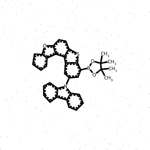 CC1(C)OB(c2cc(-n3c4ccccc4c4ccccc43)cc3c2sc2ccc4oc5ccccc5c4c23)OC1(C)C